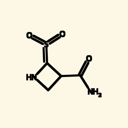 NC(=O)C1CNC1=S(=O)=O